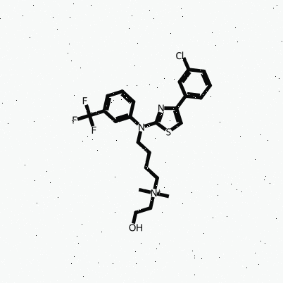 C[N+](C)(CCO)CCCCN(c1cccc(C(F)(F)F)c1)c1nc(-c2cccc(Cl)c2)cs1